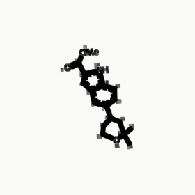 COC(=O)c1cc2cc(C3CCOC(C)(C)C3)ccc2[nH]1